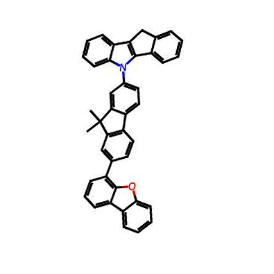 CC1(C)c2cc(-c3cccc4c3oc3ccccc34)ccc2-c2ccc(-n3c4c(c5ccccc53)Cc3ccccc3-4)cc21